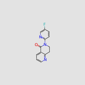 O=C1c2cccnc2CCN1c1ccc(F)cn1